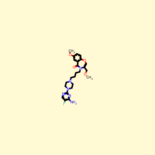 COCC1=COc2ccc(OC)cc2C(=O)N1CCCCN1CCN(c2ncc(F)c(N)n2)CC1